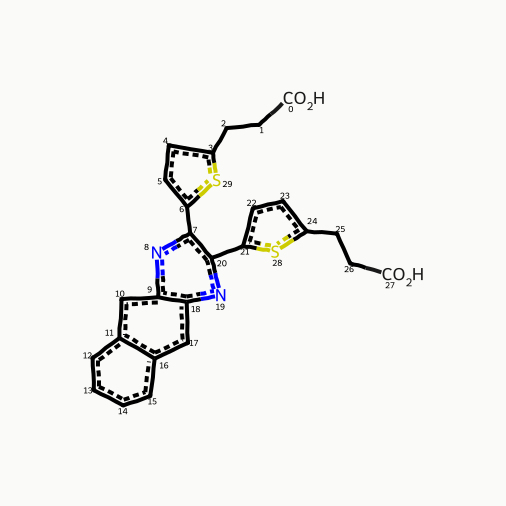 O=C(O)CCc1ccc(-c2nc3cc4ccccc4cc3nc2-c2ccc(CCC(=O)O)s2)s1